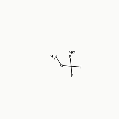 Cl.NOC(F)(F)F